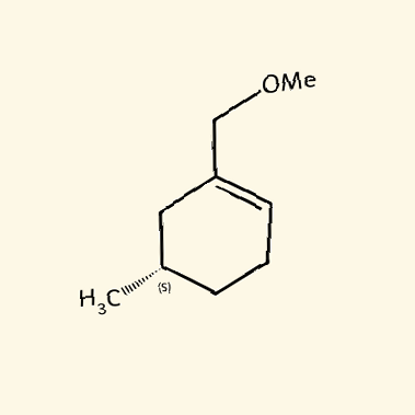 COCC1=CCC[C@H](C)C1